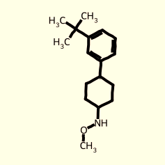 CONC1CC[C](c2cccc(C(C)(C)C)c2)CC1